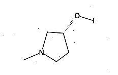 CN1CC[C@@H](OI)C1